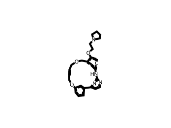 C1=C\COc2cccc(c2)-c2ccnc(n2)Nc2ccc(OCCN3CCCC3)c(c2)COC/1